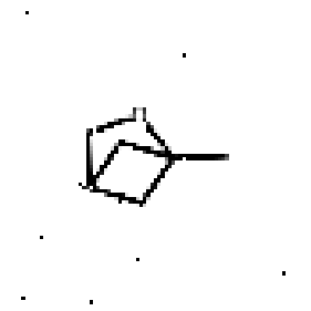 CC12C[C](CO1)C2